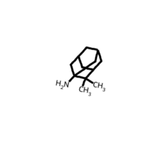 CC1(C)C2CC3CC(C2)CC1(N)C3